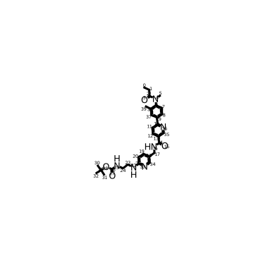 CCC(=O)N(C)c1ccc(-c2ccc(C(=O)NCc3ccc(NCCNC(=O)OC(C)(C)C)nc3)cn2)cc1C